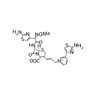 CO/N=C(\C(=O)N[C@@H]1C(=O)N2C(C(=O)[O-])=C(/C=C/C[n+]3cccc(-c4csc(N)n4)c3)CS[C@H]12)c1csc(N)n1